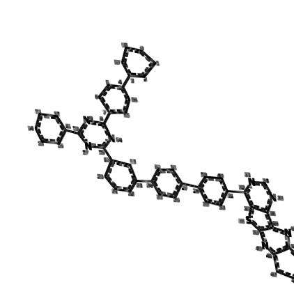 c1ccc(-c2ccc(-c3nc(-c4ccccc4)nc(-c4cccc(-c5ccc(-c6ccc(-c7ncnc8c7sc7nc9ccccc9nc78)cc6)cc5)c4)n3)cc2)cc1